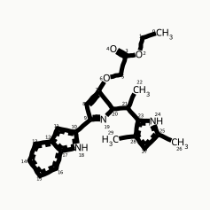 CCOC(=O)COC1=CC(c2cc3ccccc3[nH]2)=NC1C(C)c1[nH]c(C)cc1C